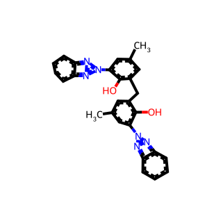 Cc1cc(Cc2cc(C)cc(-n3n4c5ccccc5n34)c2O)c(O)c(-n2n3c4ccccc4n23)c1